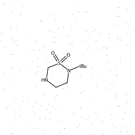 CC(C)(C)N1CCNCS1(=O)=O